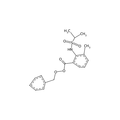 Cc1cccc(C(=O)OOCc2ccccc2)c1NS(=O)(=O)C(C)C